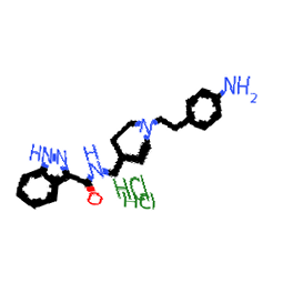 Cl.Cl.Nc1ccc(CCN2CCC(CNC(=O)c3n[nH]c4ccccc34)CC2)cc1